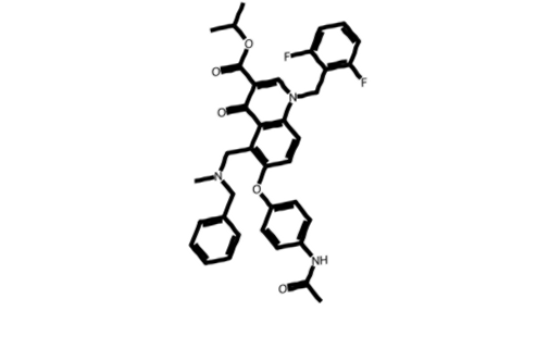 CC(=O)Nc1ccc(Oc2ccc3c(c2CN(C)Cc2ccccc2)c(=O)c(C(=O)OC(C)C)cn3Cc2c(F)cccc2F)cc1